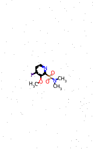 COc1c(I)ccnc1S(=O)(=O)N(C)C